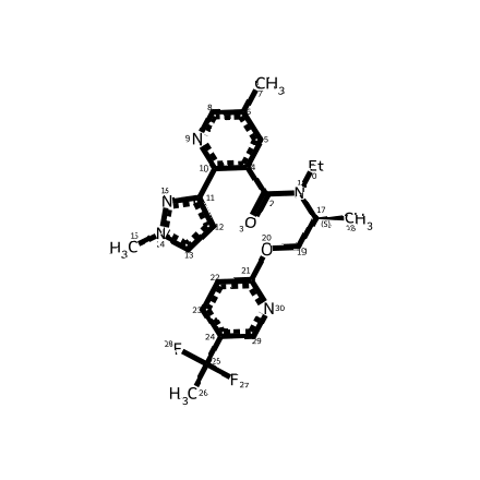 CCN(C(=O)c1cc(C)cnc1-c1ccn(C)n1)[C@@H](C)COc1ccc(C(C)(F)F)cn1